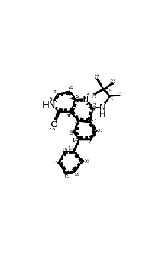 CC(Nc1nc2cc[nH]c(=O)c2c2cc(-c3ccccc3)ccc12)C(C)(C)C